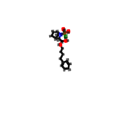 O=C(OCCCCc1ccccc1)C1C2CCC(C2)N1S(=O)(=O)Cl